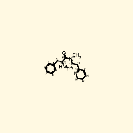 CC(C)N[C@@H](Cc1ccccc1)C(=O)N(C)CCC1=NCCC=C1